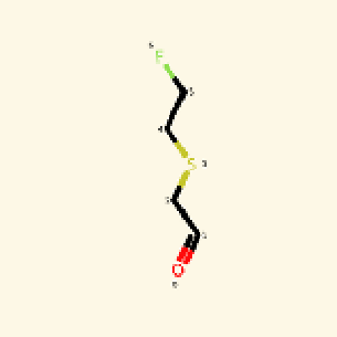 O=[C]CSCCF